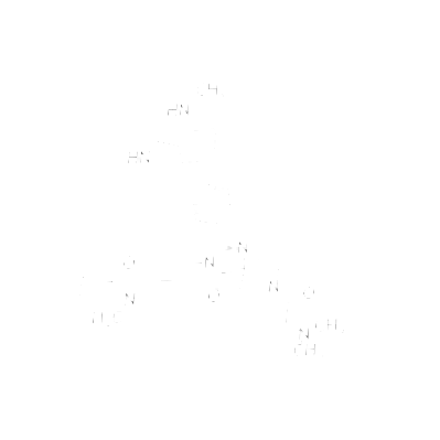 CNc1ccc(-c2ccc(C3=NC4(CCN(C(=O)CN(C)C)CC4)C(=O)N3CCCCN(C)C(=O)C3CC3)cc2)cc1C=N